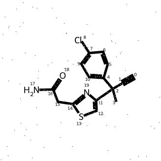 C#CC(C)(c1ccc(Cl)cc1)c1csc(CC(N)=O)n1